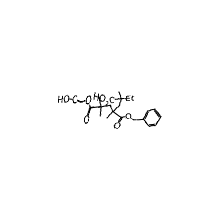 CCC(C)(CC(C)(CC(C)(C)C(=O)OCCO)C(=O)OCc1ccccc1)C(=O)O